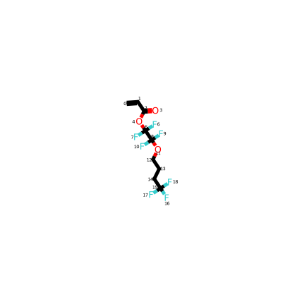 C=CC(=O)OC(F)(F)C(F)(F)OCCCC(F)(F)F